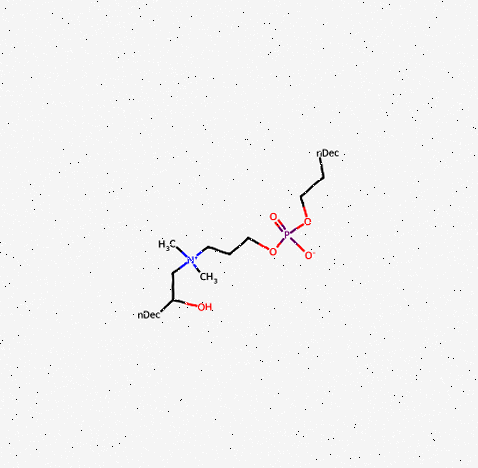 CCCCCCCCCCCCOP(=O)([O-])OCCC[N+](C)(C)CC(O)CCCCCCCCCC